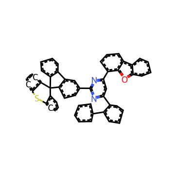 c1ccc(-c2ccccc2-c2cc(-c3cccc4c3oc3ccccc34)nc(-c3ccc4c(c3)-c3ccccc3C43c4ccccc4Sc4ccccc43)n2)cc1